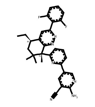 CC[C@@H]1CC(C)(C)[C@@](C)(c2cccc(-c3cnc(N)c(C#N)c3)n2)c2nnc(-c3c(F)cccc3F)cc21